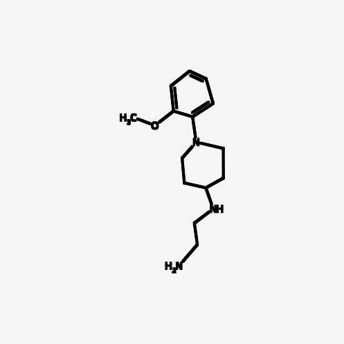 COc1ccccc1N1CCC(NCCN)CC1